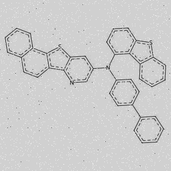 c1ccc(-c2ccc(N(c3cnc4c(c3)sc3c5ccccc5ccc43)c3cccc4sc5ccccc5c34)cc2)cc1